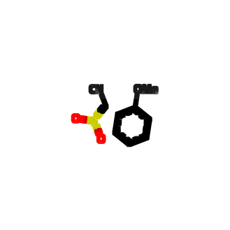 COc1ccccc1.[C-]#[N+]C=S(=O)=O